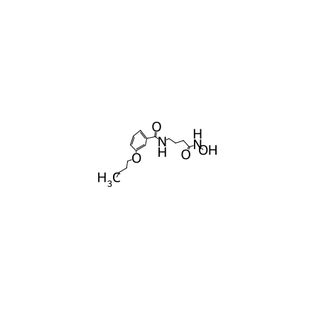 CCCCOc1cccc(C(=O)NCCCC(=O)NO)c1